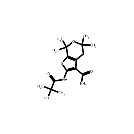 CC1(C)Cc2c(sc(NC(=O)C(C)(C)O)c2C(N)=O)C(C)(C)O1